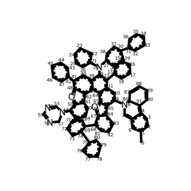 Cc1ccc2c(c1)=CN(c1cc3c(-c4ccccc4)c(N(c4ccccc4)c4ccc(-c5ccccc5)cc4)c4cc(-c5ccccc5)c5oc6c(N7C=NC=NC7)cccc6c5c4c3c3oc4c(-c5ccccc5-c5ccccc5)cccc4c13)C1C=CC=CC=21